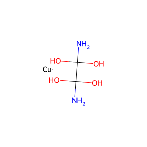 NC(O)(O)C(N)(O)O.[Cu]